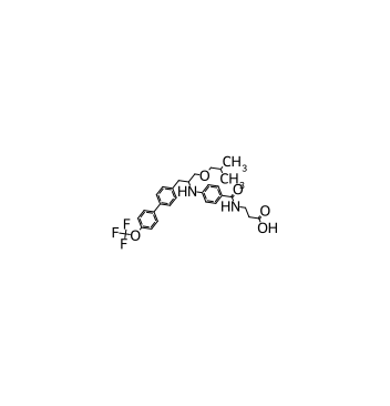 CC(C)COCC(Cc1ccc(-c2ccc(OC(F)(F)F)cc2)cc1)Nc1ccc(C(=O)NCCC(=O)O)cc1